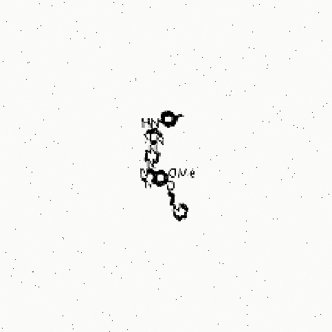 COc1cc2c(N3CCN(c4ncc(Nc5ccc(C)cc5)cn4)CC3)ncnc2cc1OCCCN1CCCCC1